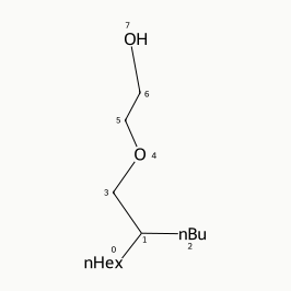 CCCCCCC(CCCC)COCCO